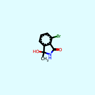 CC1(O)NC(=O)c2c(Br)cccc21